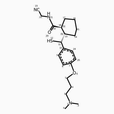 CN(C)CCCOc1ccc(C(S)[C@H]2CCCC[C@@H]2C(=O)NCC#N)cc1